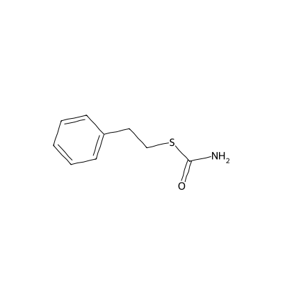 NC(=O)SCCc1ccccc1